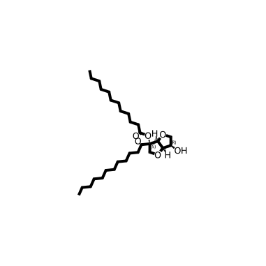 CCCCCCCCCCCC(=O)O[C@@]1(C(=O)CCCCCCCCCCC)CO[C@@H]2[C@H](O)CO[C@@H]21